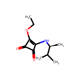 CCOc1c(N[C@@H](C)C(C)C)c(=O)c1=O